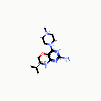 CC(C)[C@@H]1COc2c(nc(N)nc2N2CCN(C)CC2)N1